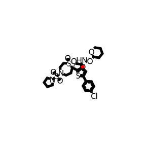 O=C(C[C@]1(c2ccc(-c3ccc(Cl)cc3)s2)CCN(S(=O)(=O)N2CCCC2)CCS1(=O)=O)NOC1CCCCO1